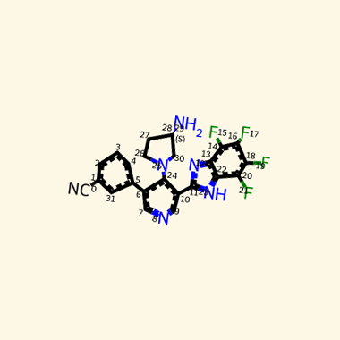 N#Cc1cccc(-c2cncc(-c3nc4c(F)c(F)c(F)c(F)c4[nH]3)c2N2CC[C@H](N)C2)c1